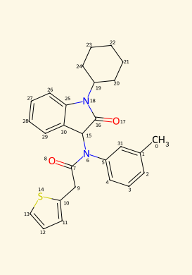 Cc1cccc(N(C(=O)Cc2cccs2)C2C(=O)N(C3CCCCC3)c3ccccc32)c1